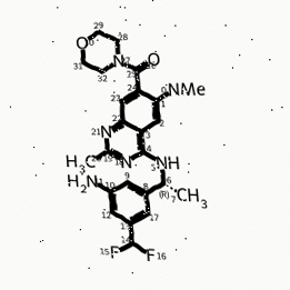 CNc1cc2c(N[C@H](C)c3cc(N)cc(C(F)F)c3)nc(C)nc2cc1C(=O)N1CCOCC1